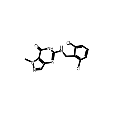 Cn1ncc2nc(NCc3c(Cl)cccc3Cl)[nH]c(=O)c21